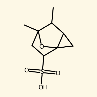 CC1C2CC23OC1(C)CC3S(=O)(=O)O